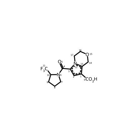 O=C(O)c1cc(C(=O)N2CCCC2C(F)(F)F)n2c1COCC2